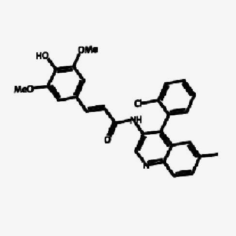 COc1cc(/C=C/C(=O)Nc2cnc3ccc(C)cc3c2-c2ccccc2Cl)cc(OC)c1O